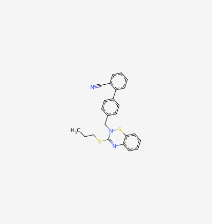 CCCSC1=Nc2ccccc2SN1Cc1ccc(-c2ccccc2C#N)cc1